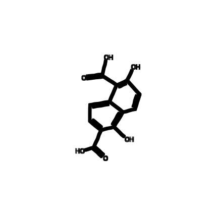 O=C(O)c1ccc2c(C(=O)O)c(O)ccc2c1O